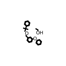 CC(C)(COCc1cccc(Oc2ccccc2)c1)c1ccccc1.CCO